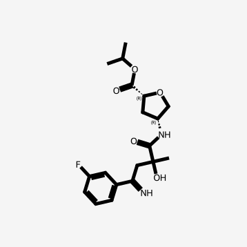 CC(C)OC(=O)[C@H]1C[C@@H](NC(=O)C(C)(O)CC(=N)c2cccc(F)c2)CO1